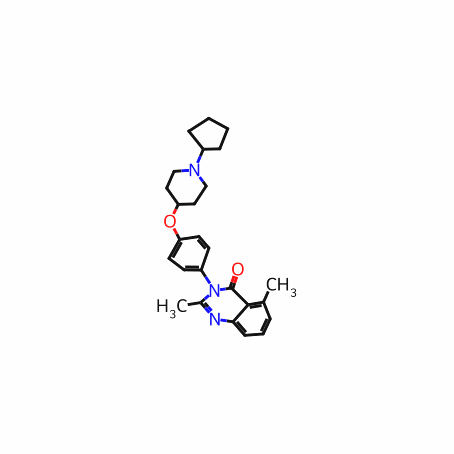 Cc1cccc2nc(C)n(-c3ccc(OC4CCN(C5CCCC5)CC4)cc3)c(=O)c12